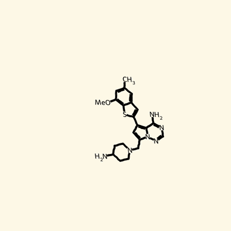 COc1cc(C)cc2cc(-c3cc(CN4CCC(N)CC4)n4ncnc(N)c34)sc12